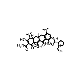 CC(C)CN1CCC[C@H]1C(=O)Nc1cc(N(C)C)c2c(c1O)C(=O)C1=C(O)[C@]3(O)C(=O)C(C(N)=O)=C(O)[C@@H](N(C)C)[C@@H]3C[C@@H]1C2